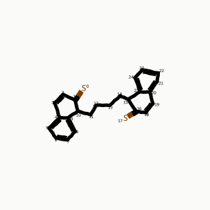 S=C1C=Cc2ccccc2C1C[CH]CCC1C(=S)C=Cc2ccccc21